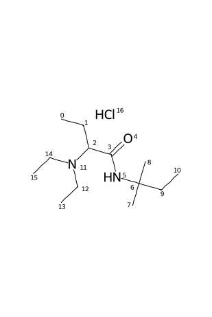 CCC(C(=O)NC(C)(C)CC)N(CC)CC.Cl